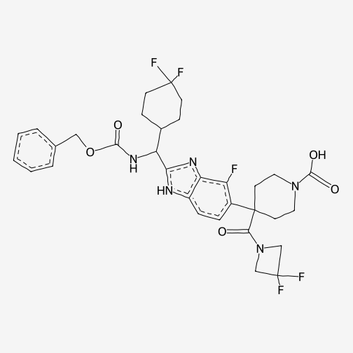 O=C(NC(c1nc2c(F)c(C3(C(=O)N4CC(F)(F)C4)CCN(C(=O)O)CC3)ccc2[nH]1)C1CCC(F)(F)CC1)OCc1ccccc1